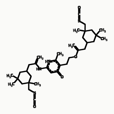 C=C(CC1CC(C)(C)CC(C)(CN=C=O)C1)Nc1cc(=O)c(CCOC(=C)CC2CC(C)(C)CC(C)(CN=C=O)C2)c(C)[nH]1